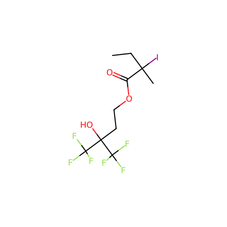 CCC(C)(I)C(=O)OCCC(O)(C(F)(F)F)C(F)(F)F